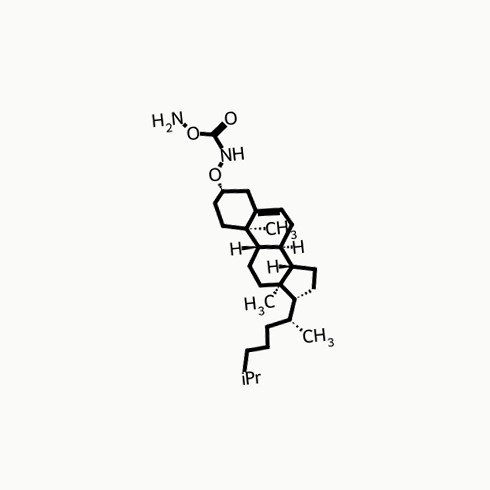 CC(C)CCC[C@@H](C)[C@H]1CC[C@H]2[C@@H]3CC=C4C[C@@H](ONC(=O)ON)CC[C@]4(C)[C@H]3CC[C@]12C